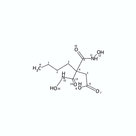 CCCCC(CC(=O)O)(C(=O)NO)C(=O)NO